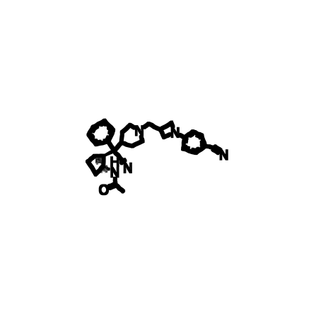 CC(=O)N[C@@H]1CCC[C@H]1C(C#N)(c1ccccc1)C1CCN(CC2CN(c3ccc(C#N)cc3)C2)CC1